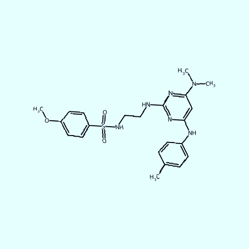 COc1ccc(S(=O)(=O)NCCNc2nc(Nc3ccc(C)cc3)cc(N(C)C)n2)cc1